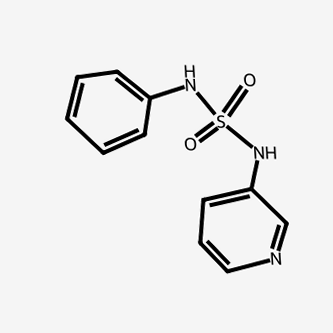 O=S(=O)(Nc1ccccc1)Nc1cccnc1